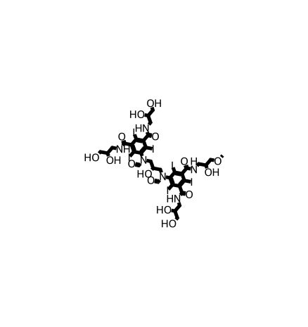 COCC(O)CNC(=O)c1c(I)c(C(=O)NCC(O)CO)c(I)c(N(C=O)CC(O)CN(C=O)c2c(I)c(C(=O)NCC(O)CO)c(I)c(C(=O)NCC(O)CO)c2I)c1I